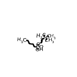 CCCCCP(=O)(O)OCC[N+](C)(C)C